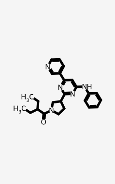 CCC(CC)C(=O)N1CCC(c2nc(Nc3ccccc3)cc(-c3cccnc3)n2)C1